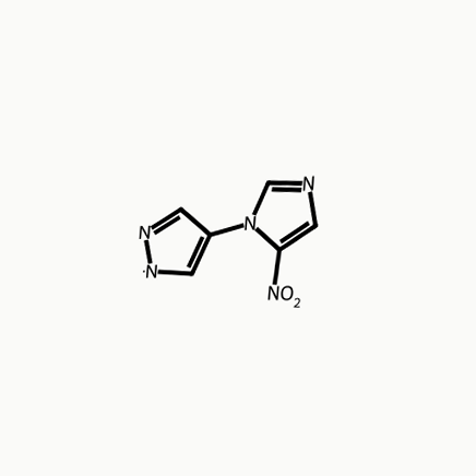 O=[N+]([O-])c1cncn1C1=C[N]N=C1